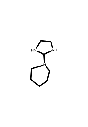 C1CCN([C]2NCCN2)CC1